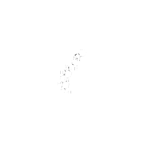 C[C@]12CC[C@@H]3[C@H]4CC[C@]5(O)CC5[C@H]4CC[C@H]3[C@@H]1CC[C@@H]2C(=O)Cn1cc2c(n1)CCCC2